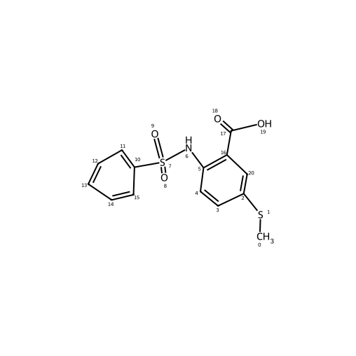 CSc1ccc(NS(=O)(=O)c2ccccc2)c(C(=O)O)c1